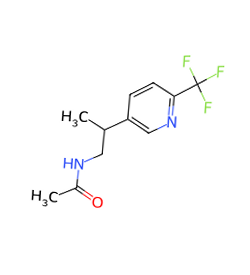 CC(=O)NCC(C)c1ccc(C(F)(F)F)nc1